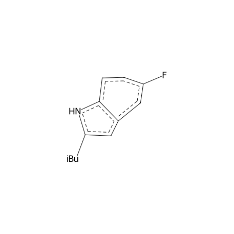 CCC(C)c1cc2cc(F)ccc2[nH]1